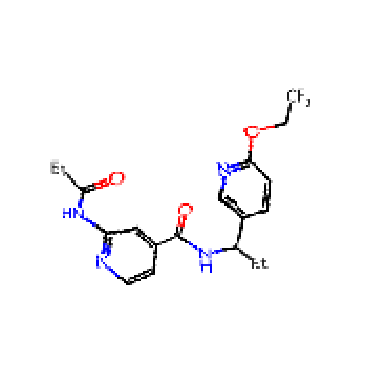 CCC(=O)Nc1cc(C(=O)NC(CC)c2ccc(OCC(F)(F)F)nc2)ccn1